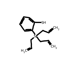 C=CC[Si](CC=C)(CC=C)c1ccccc1S